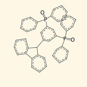 O=P(c1ccccc1)(c1ccccc1)c1cc(C2c3ccccc3-c3ccccc32)cc(P(=O)(c2ccccc2)c2ccccc2)c1